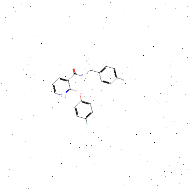 COc1ccc([C@@H](C)NC(=O)c2cccnc2Oc2ccc(F)cc2)cc1